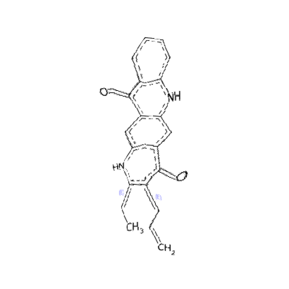 C=C/C=c1/c(=O)c2cc3[nH]c4ccccc4c(=O)c3cc2[nH]/c1=C/C